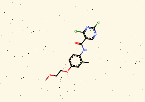 COCCOc1ccc(NC(=O)c2cnc(Cl)nc2Cl)c(C)c1